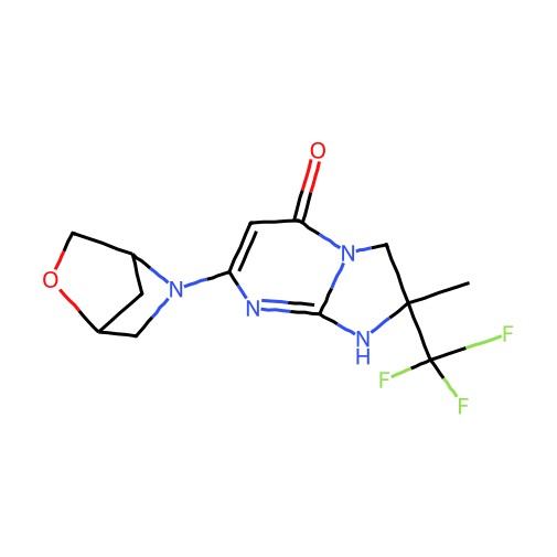 CC1(C(F)(F)F)Cn2c(nc(N3CC4CC3CO4)cc2=O)N1